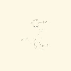 CN(C)C(CCNc1ccccc1[N+](=O)[O-])S(=O)(=O)CCO